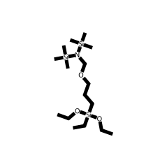 CCO[Si](CC)(CCCOCN([Si](C)(C)C)[Si](C)(C)C)OCC